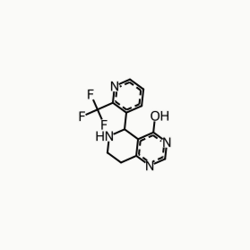 Oc1ncnc2c1C(c1cccnc1C(F)(F)F)NCC2